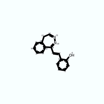 Oc1ccccc1/C=C/C1=NN=CCc2ccccc21